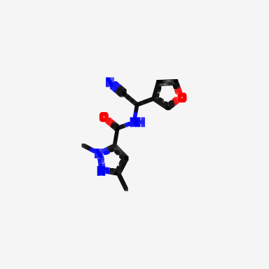 Cc1cc(C(=O)NC(C#N)c2ccoc2)n(C)n1